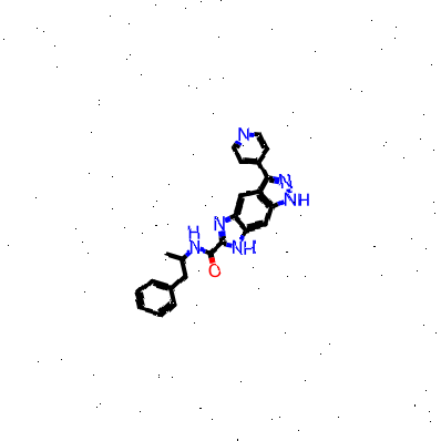 CC(Cc1ccccc1)NC(=O)c1nc2cc3c(-c4ccncc4)n[nH]c3cc2[nH]1